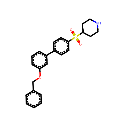 O=S(=O)(c1ccc(-c2[c]ccc(OCc3ccccc3)c2)cc1)C1CCNCC1